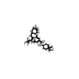 Cc1cc(C(=O)NC2CCC3(CC2)COC3)cc2nc(C(F)(F)F)c(CC3CCC(F)(F)CC3)n12